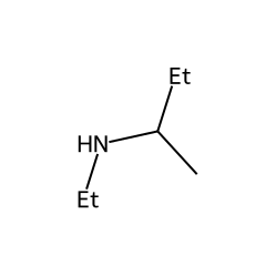 CCNC(C)CC